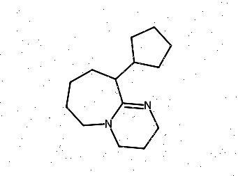 C1CCC(C2CCCCN3CCCN=C23)C1